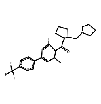 CC1C=C(c2ccc(C(F)(F)F)cc2)C=C(F)C1C(=O)N1CCCC1CN1CCCC1